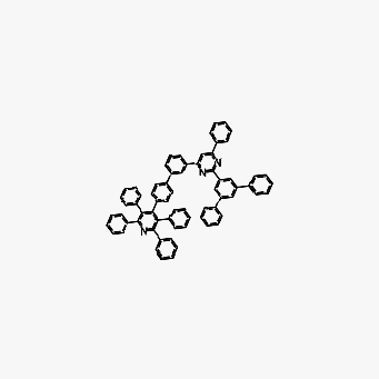 c1ccc(-c2cc(-c3ccccc3)cc(-c3nc(-c4ccccc4)cc(-c4cccc(-c5ccc(-c6c(-c7ccccc7)c(-c7ccccc7)nc(-c7ccccc7)c6-c6ccccc6)cc5)c4)n3)c2)cc1